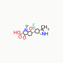 C[C@@H]1CNCc2cc(-c3ccc4c(=O)c(C(=O)O)cn(C5CC5)c4c3OC(F)F)ccc21